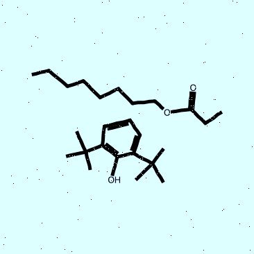 CC(C)(C)c1cccc(C(C)(C)C)c1O.CCCCCCCCOC(=O)CC